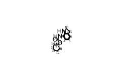 O=C(Nc1cccc2c1NCC2)ON1CCCCC1